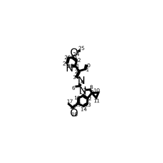 C=C/C(=C\N=C(/C)N1CC2(CC2)c2ccc(C(C)=O)cc21)c1cc(OC)ccn1